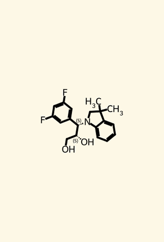 CC1(C)CN([C@@H](c2cc(F)cc(F)c2)[C@H](O)CO)c2ccccc21